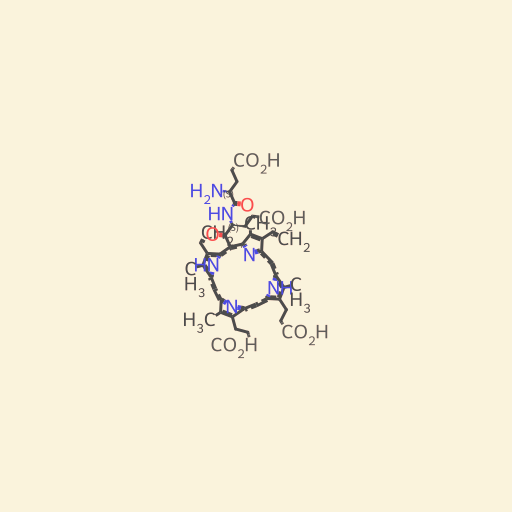 C=CC1=C(C)c2nc1cc1[nH]c(cc3nc(cc4[nH]c(c(C=C)c4C)c2C(=O)[C@H](CCC(=O)O)NC(=O)[C@@H](N)CCC(=O)O)C(C)=C3CCC(=O)O)c(CCC(=O)O)c1C